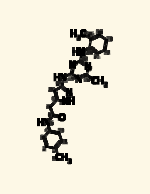 Cc1ccc(NC(=O)Cc2cc(Nc3nc(C)nc(Nc4ccccc4C)n3)n[nH]2)cc1